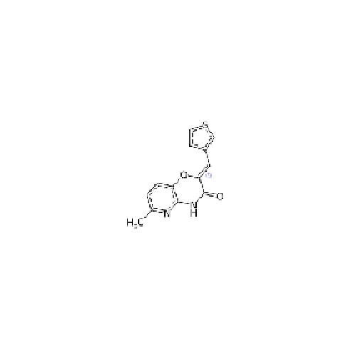 Cc1ccc2c(n1)NC(=O)/C(=C/c1ccsc1)O2